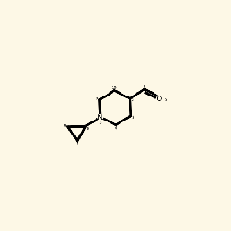 O=CC1CCN(C2CC2)CC1